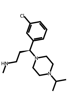 CNCC[C@@H](c1cccc(Cl)c1)N1CCN(C(C)C)CC1